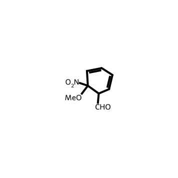 COC1([N+](=O)[O-])C=CC=CC1C=O